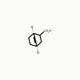 O=C(O)C1C[C@@H]2C=C[C@H]1CC2